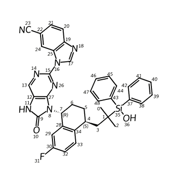 CC(C)(C[C@@H]1CC[C@@H](n2c(=O)[nH]c3cnc(-n4cnc5ccc(C#N)cc54)nc32)c2cc(F)ccc21)[Si](O)(c1ccccc1)c1ccccc1